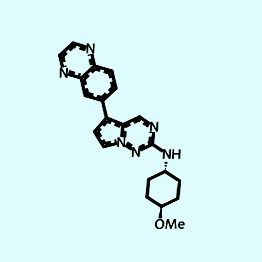 CO[C@H]1CC[C@H](Nc2ncc3c(-c4ccc5nccnc5c4)ccn3n2)CC1